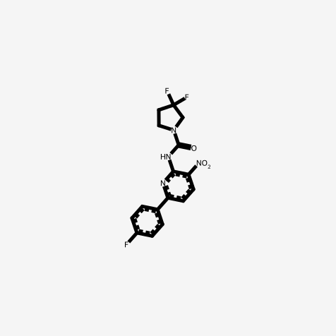 O=C(Nc1nc(-c2ccc(F)cc2)ccc1[N+](=O)[O-])N1CCC(F)(F)C1